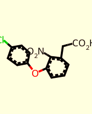 O=C(O)Cc1cccc(Oc2ccc(Cl)cc2)c1[N+](=O)[O-]